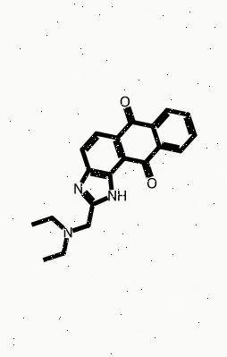 CCN(CC)Cc1nc2ccc3c(c2[nH]1)C(=O)c1ccccc1C3=O